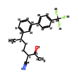 CC(=O)C(C#N)CCC(C)c1cccc(-c2ccc(C(F)(F)F)cc2)c1